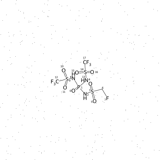 O=P(NS(=O)(=O)CF)(NS(=O)(=O)C(F)(F)F)NS(=O)(=O)C(F)(F)F